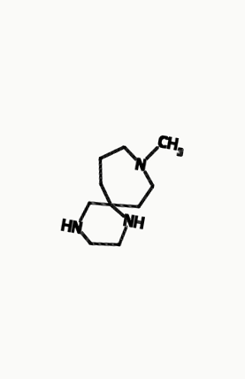 CN1CCCC2(CC1)CNCCN2